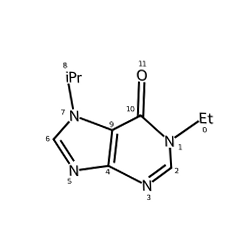 CCn1cnc2ncn(C(C)C)c2c1=O